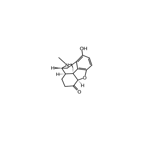 CN1CC[C@@]23c4c5ccc(O)c4C[C@@H]1[C@@H]2CCC(=O)[C@@H]3O5